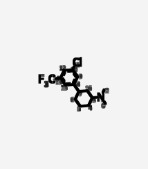 CN(C)C1CCCC(c2cc(Cl)cc(C(F)(F)F)c2)C1